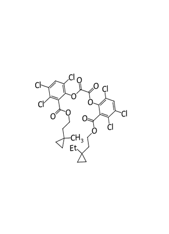 CCC1(CCOC(=O)c2c(Cl)c(Cl)cc(Cl)c2OC(=O)C(=O)Oc2c(Cl)cc(Cl)c(Cl)c2C(=O)OCCC2(C)CC2)CC1